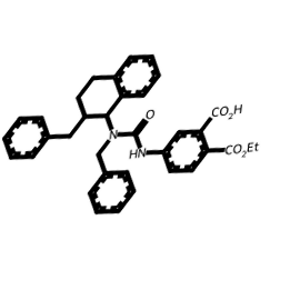 CCOC(=O)c1ccc(NC(=O)N(Cc2ccccc2)C2c3ccccc3CCC2Cc2ccccc2)cc1C(=O)O